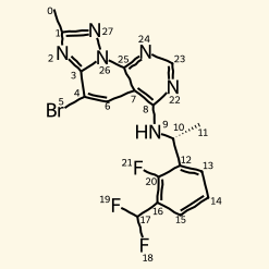 Cc1nc2c(Br)cc3c(N[C@H](C)c4cccc(C(F)F)c4F)ncnc3n2n1